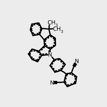 CC1(C)c2ccccc2-c2c1ccc1c2c2ccccc2n1-c1ccc(-c2c(C#N)cccc2C#N)cc1